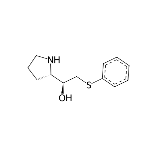 O[C@H](CSc1ccccc1)[C@@H]1CCCN1